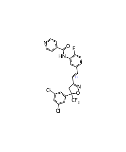 O=C(Nc1cc(/C=C/C2=NOC(c3cc(Cl)cc(Cl)c3)(C(F)(F)F)C2)ccc1F)c1ccncc1